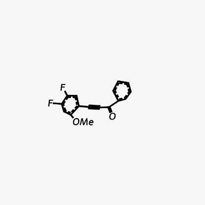 COc1cc(F)c(F)cc1C#CC(=O)c1ccccc1